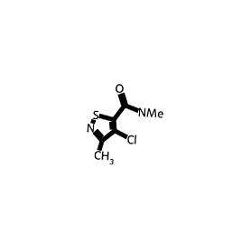 CNC(=O)c1snc(C)c1Cl